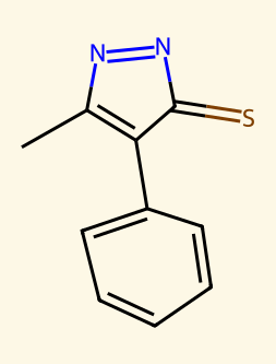 CC1=C(c2ccccc2)C(=S)N=N1